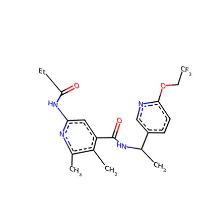 CCC(=O)Nc1cc(C(=O)NC(C)c2ccc(OCC(F)(F)F)nc2)c(C)c(C)n1